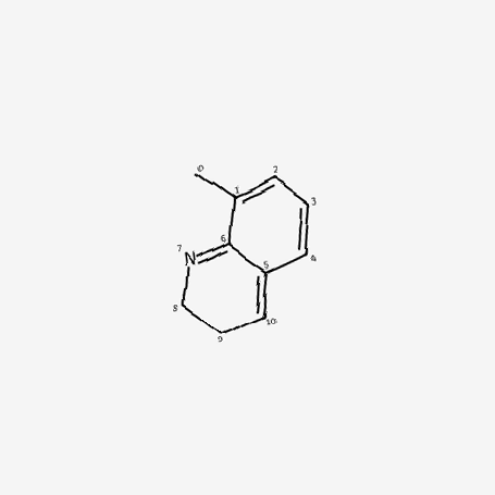 Cc1cccc2c1=NCCC=2